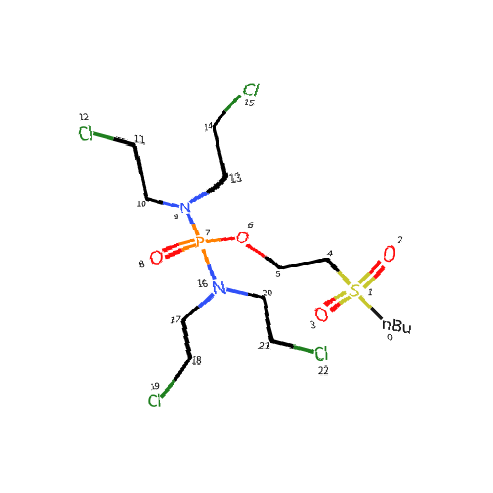 CCCCS(=O)(=O)CCOP(=O)(N(CCCl)CCCl)N(CCCl)CCCl